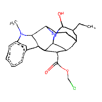 CCC1C2CC3C4N(C)c5ccccc5C45CC(C2C5C(=O)OCCl)N3C1O